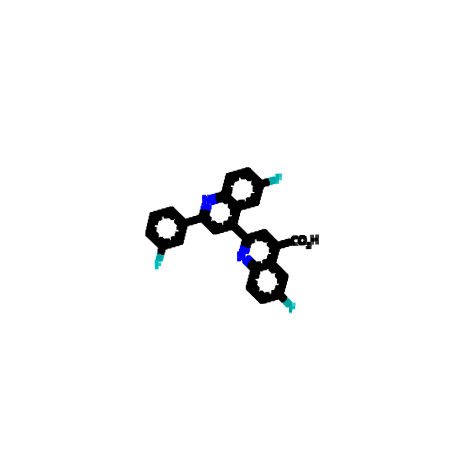 O=C(O)c1cc(-c2cc(-c3cccc(F)c3)nc3ccc(F)cc23)nc2ccc(F)cc12